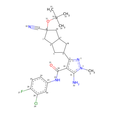 Cn1nc(C2CC3CC(C#N)(O[Si](C)(C)C)CC3C2)c(C(=O)Nc2ccc(F)c(Cl)c2)c1N